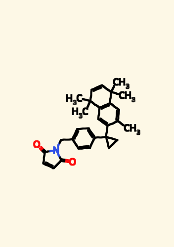 Cc1cc2c(cc1C1(c3ccc(CN4C(=O)C=CC4=O)cc3)CC1)C(C)(C)C=CC2(C)C